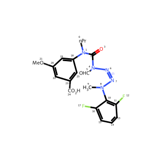 CCCN(C(=O)N(C=O)/N=N\N(C)c1c(F)cccc1F)c1cc(OC)cc(C(=O)O)c1